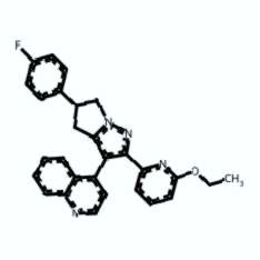 CCOc1cccc(-c2nn3c(c2-c2ccnc4ccccc24)CC(c2ccc(F)cc2)C3)n1